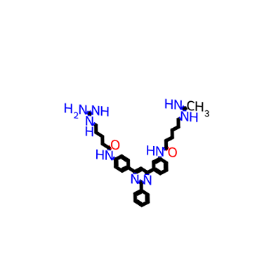 CC(=N)NCCCCCC(=O)Nc1cccc(-c2cc(-c3ccc(NC(=O)CCCCNC(=N)N)cc3)nc(-c3ccccc3)n2)c1